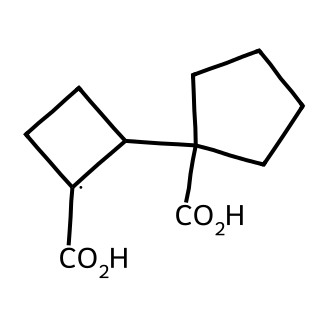 O=C(O)[C]1CCC1C1(C(=O)O)CCCC1